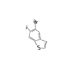 Brc1cc2ccsc2cc1I